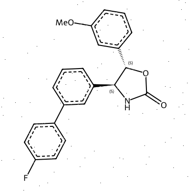 COc1cccc([C@@H]2OC(=O)N[C@H]2c2cccc(-c3ccc(F)cc3)c2)c1